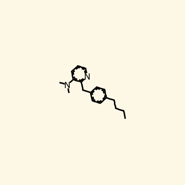 CCCCc1ccc(Cc2ncccc2N(C)C)cc1